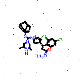 CC1CN(/C(=N/C2C3CC4CC(C3)CC2C4)Nc2ccc(C(CC(N)=O)c3ccc(Cl)cc3Cl)cc2)CC(C)N1